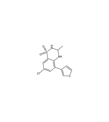 CC1Nc2c(-c3ccsc3)cc(Cl)cc2S(=O)(=O)N1